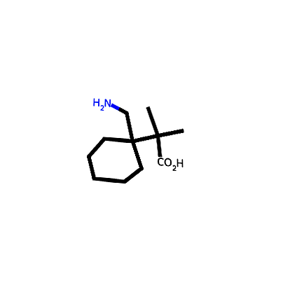 CC(C)(C(=O)O)C1(CN)CCCCC1